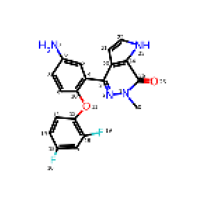 Cn1nc(-c2cc(N)ccc2Oc2ccc(F)cc2F)c2cc[nH]c2c1=O